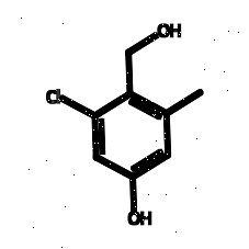 Cc1cc(O)cc(Cl)c1CO